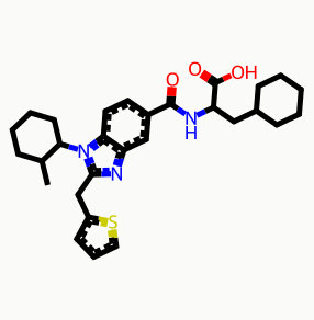 CC1CCCCC1n1c(Cc2cccs2)nc2cc(C(=O)NC(CC3CCCCC3)C(=O)O)ccc21